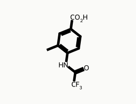 Cc1cc(C(=O)O)ccc1NC(=O)C(F)(F)F